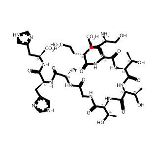 CC(C)[C@H](NC(=O)CNC(=O)[C@@H](NC(=O)[C@@H](NC(=O)[C@@H](NC(=O)[C@H](CCC(=O)O)NC(=O)[C@H](CCC(=O)O)NC(=O)[C@@H](N)CO)[C@@H](C)O)[C@@H](C)O)[C@@H](C)O)C(=O)N[C@@H](Cc1c[nH]cn1)C(=O)N[C@@H](Cc1c[nH]cn1)C(=O)O